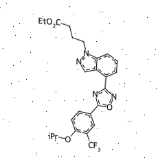 CCOC(=O)CCCn1ncc2c(-c3noc(-c4ccc(OC(C)C)c(C(F)(F)F)c4)n3)cccc21